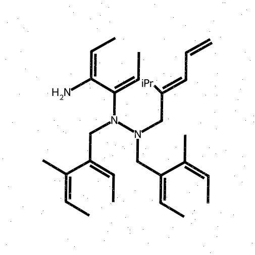 C=C/C=C(/CN(CC(=C/C)/C(C)=C\C)N(CC(=C/C)/C(C)=C\C)C(=C/C)/C(N)=C\C)C(C)C